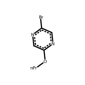 CCCOc1cnc(Br)cn1